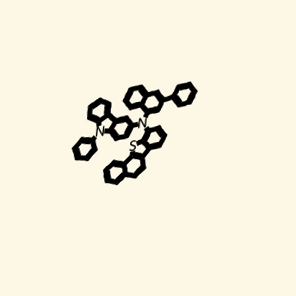 c1ccc(-c2cc(N(c3ccc4c(c3)c3ccccc3n4-c3ccccc3)c3cccc4c3sc3c5ccccc5ccc43)c3ccccc3c2)cc1